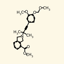 COCOc1ccc(C#CC(C)(C)N2Cc3cccc(C(=O)OC)c3C2)cc1OC